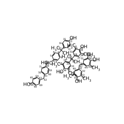 CC(C)(c1ccc(O)cc1)c1ccc(O)cc1.Cc1cc(C(C)(C)c2cc(C)c(O)c(C)c2)cc(C)c1O.Cc1cc(Cc2cc(C)c(O)c(C)c2)cc(C)c1O.Oc1ccc(Cc2ccc(O)cc2)cc1